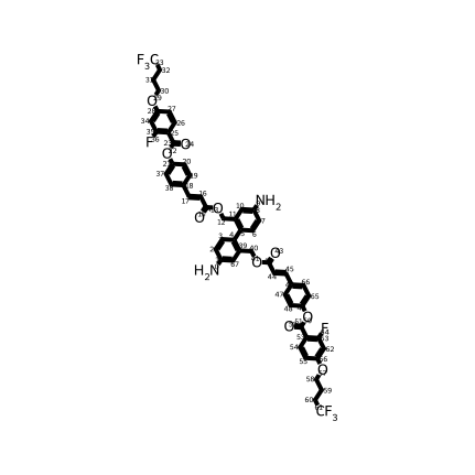 Nc1ccc(-c2ccc(N)cc2COC(=O)/C=C/c2ccc(OC(=O)c3ccc(OCCCC(F)(F)F)cc3F)cc2)c(COC(=O)/C=C/c2ccc(OC(=O)c3ccc(OCCCC(F)(F)F)cc3F)cc2)c1